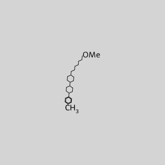 COCCCCCCCC1CCC(C2CCC(c3ccc(C)cc3)CC2)CC1